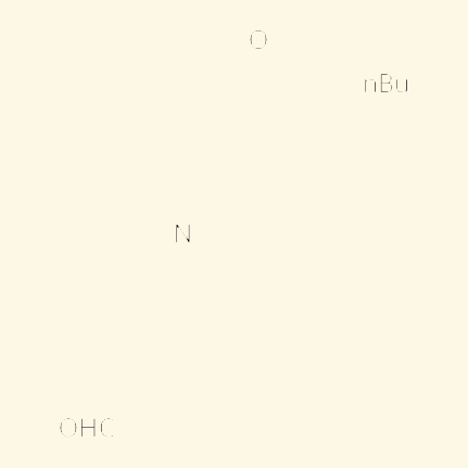 CCCCC(=O)CCN1CCC(C=O)CC1